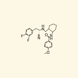 COc1ccc(C(=O)NC2CCCCC2CN[C@H](C#N)Cc2ccc(F)c(F)c2)cc1